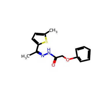 CC(=NNC(=O)COc1ccccc1)c1ccc(C)s1